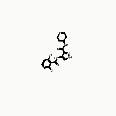 O=C(NC1CCOCC1)c1n[nH]cc1NC(=O)c1c(Cl)cccc1Cl